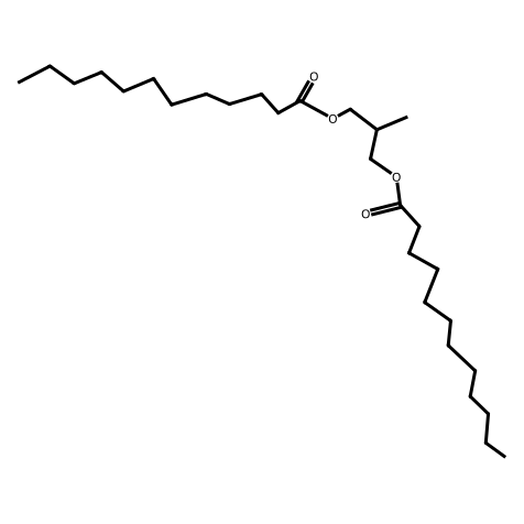 CCCCCCCCCCCC(=O)OCC(C)COC(=O)CCCCCCCCCCC